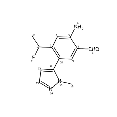 CC(F)c1cc(N)c(C=O)cc1-c1ccnn1C